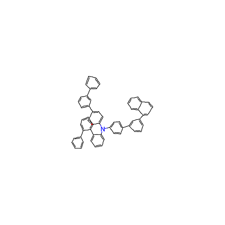 c1ccc(-c2cccc(-c3ccc(N(c4ccc(-c5cccc(-c6cccc7ccccc67)c5)cc4)c4ccccc4-c4ccccc4-c4ccccc4)cc3)c2)cc1